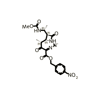 COC(=O)N[C@H](C)[C@H]1C(=O)N[C@@H]1[C@@H](C)C(=O)C(=[N+]=[N-])C(=O)OCc1ccc([N+](=O)[O-])cc1